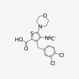 [C-]#[N+]c1c(N2CCOCC2)sc(C(=O)O)c1Cc1ccc(Cl)c(Cl)c1